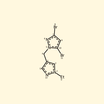 CCn1cc(Cn2nc(Br)cc2Br)cn1